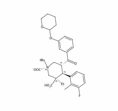 CC[C@]1(C(=O)O)C[N@@+](C(=O)[O-])(C(C)(C)C)C[C@H](C(=O)c2cccc(OC3CCCCO3)c2)[C@H]1c1cccc(F)c1C